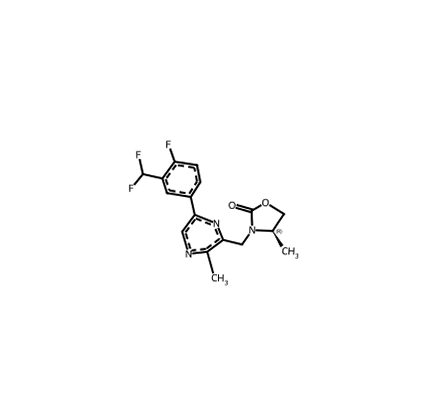 Cc1ncc(-c2ccc(F)c(C(F)F)c2)nc1CN1C(=O)OC[C@H]1C